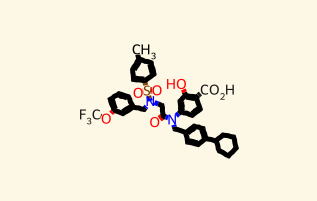 Cc1ccc(S(=O)(=O)N(CC(=O)N(Cc2ccc(C3CCCCC3)cc2)c2ccc(C(=O)O)c(O)c2)Cc2cccc(OC(F)(F)F)c2)cc1